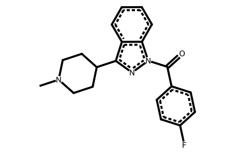 CN1CCC(c2nn(C(=O)c3ccc(F)cc3)c3ccccc23)CC1